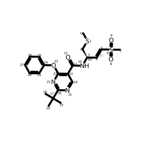 CSC[C@@H](/C=C/S(C)(=O)=O)NC(=O)c1cnc(C(C)(C)C)nc1Oc1ccccc1